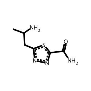 CC(N)Cc1nnc(C(N)=O)s1